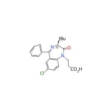 CC(C)(C)[C@@H]1N=C(c2ccccc2)c2cc(Cl)ccc2N(CCC(=O)O)C1=O